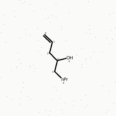 C=CCC(O)CCCC